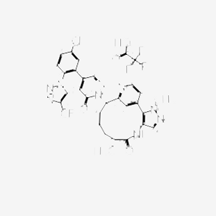 C[C@@H]1CCC[C@H](n2ncc(-c3cc(Cl)ccc3-n3cc(C(F)(F)F)nn3)cc2=O)c2cc(ccn2)-c2c(cnn2C)NC1=O.O=C(O)C(F)(F)F